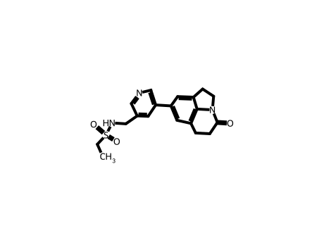 CCS(=O)(=O)NCc1cncc(-c2cc3c4c(c2)CCN4C(=O)CC3)c1